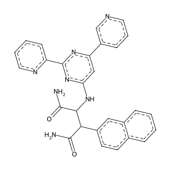 NC(=O)C(Nc1cc(-c2cccnc2)nc(-c2ccccn2)n1)C(C(N)=O)c1ccc2ccccc2c1